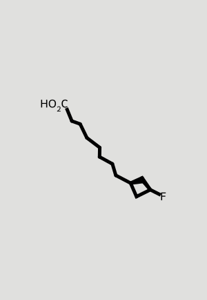 O=C(O)CCCCCCCC12CC(F)(C1)C2